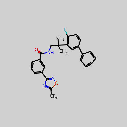 CC(C)(CNC(=O)c1cccc(-c2noc(C(F)(F)F)n2)c1)c1cc(-c2ccccc2)ccc1F